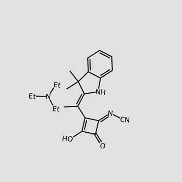 CC(=C1Nc2ccccc2C1(C)C)c1c(O)c(=O)c1=NC#N.CCN(CC)CC